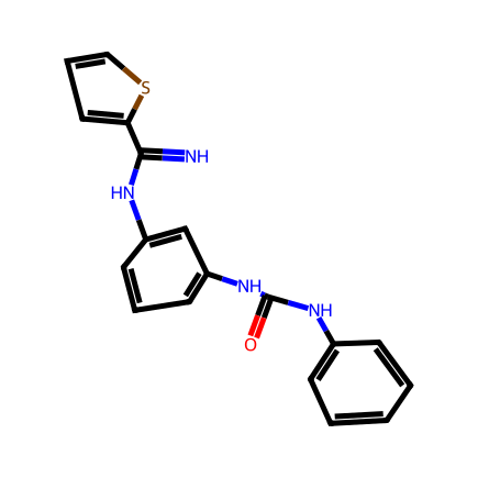 N=C(Nc1cccc(NC(=O)Nc2ccccc2)c1)c1cccs1